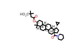 CC(C)(CC(=O)O[C@H]1CC[C@]2(C)[C@H]3CC[C@@H]4[C@H]5[C@H](C6CC6)CC[C@]5(C(=O)N5CCCCC5)CC[C@@]4(C)[C@]3(C)CC[C@H]2C1(C)C)C(=O)O